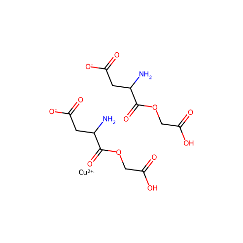 NC(CC(=O)[O-])C(=O)OCC(=O)O.NC(CC(=O)[O-])C(=O)OCC(=O)O.[Cu+2]